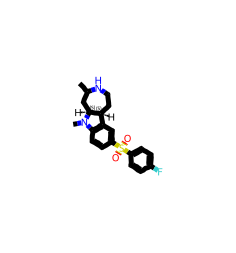 CC1C[C@H]2[C@@H](CCN1)c1cc(S(=O)(=O)c3ccc(F)cc3)ccc1N2C